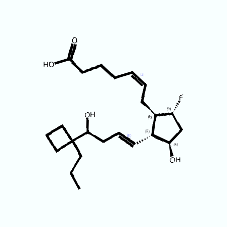 CCCC1(C(O)C/C=C/[C@@H]2[C@@H](C/C=C\CCCC(=O)O)[C@H](F)C[C@H]2O)CCC1